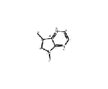 CC1CN(C)c2nccnc21